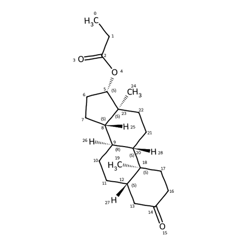 CCC(=O)O[C@H]1CC[C@H]2[C@@H]3CC[C@H]4CC(=O)CC[C@]4(C)[C@H]3CC[C@]12C